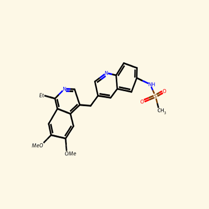 CCc1ncc(Cc2cnc3ccc(NS(C)(=O)=O)cc3c2)c2cc(OC)c(OC)cc12